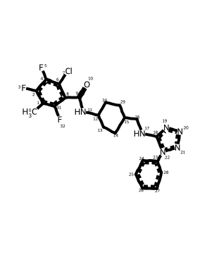 Cc1c(F)c(F)c(Cl)c(C(=O)NC2CCC(CNc3nnnn3-c3ccccc3)CC2)c1F